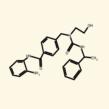 CC(NC(=O)N(CCO)Cc1ccc(C(=O)Nc2ccccc2N)cc1)c1ccccc1